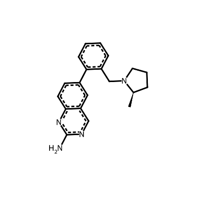 C[C@@H]1CCCN1Cc1ccccc1-c1ccc2nc(N)ncc2c1